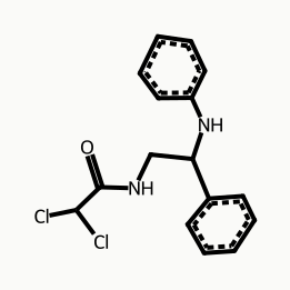 O=C(NCC(Nc1ccccc1)c1ccccc1)C(Cl)Cl